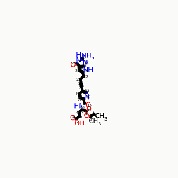 CCC(C)OC(=O)C(CCC(=O)O)NC(=O)c1ccc(C#CCCc2cc3c(=O)[nH]c(N)nc3[nH]2)cn1